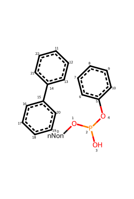 CCCCCCCCCOP(O)Oc1ccccc1.c1ccc(-c2ccccc2)cc1